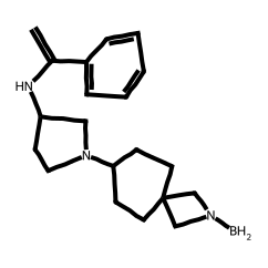 BN1CC2(CCC(N3CCC(NC(=C)c4ccccc4)C3)CC2)C1